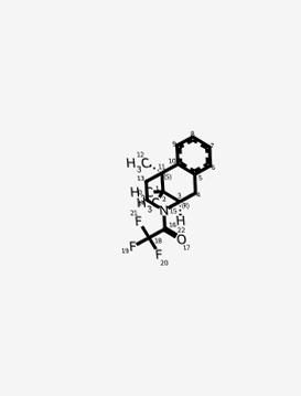 CC1(C)[C@H]2Cc3ccccc3[C@]1(C)CCN2C(=O)C(F)(F)F